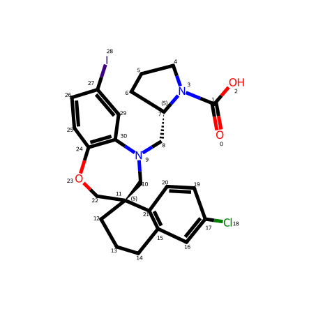 O=C(O)N1CCC[C@H]1CN1C[C@@]2(CCCc3cc(Cl)ccc32)COc2ccc(I)cc21